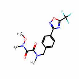 CON(C)C(=O)C(=O)N(C)Cc1ccc(-c2noc(C(F)(F)F)n2)cc1